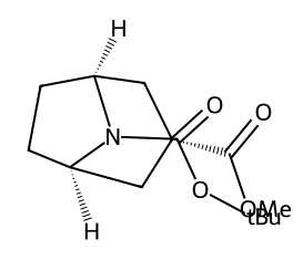 COC(=O)[C@@H]1C[C@H]2CC[C@@H](C1)N2C(=O)OC(C)(C)C